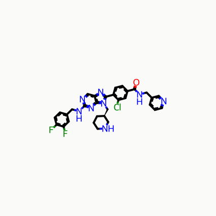 O=C(NCc1cccnc1)c1ccc(-c2nc3cnc(NCc4ccc(F)c(F)c4)nc3n2C[C@@H]2CCCNC2)c(Cl)c1